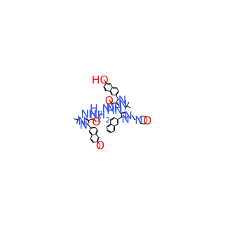 CC(C)(C)n1nc(-c2ccc3cc(O)ccc3c2)c(C(=O)NN)c1Nc1cn(CCN2CCOCC2)nc1-c1ccc2ccccc2c1.COc1ccc2cc(-c3nn(C(C)(C)C)c(N)c3C(N)=O)ccc2c1